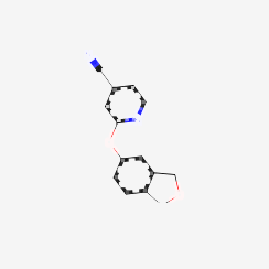 N#Cc1ccnc(Oc2ccc3c(c2)COB3)c1